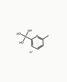 Cc1cccc([B-](O)(O)O)n1.[Li+]